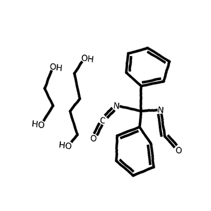 O=C=NC(N=C=O)(c1ccccc1)c1ccccc1.OCCCCO.OCCO